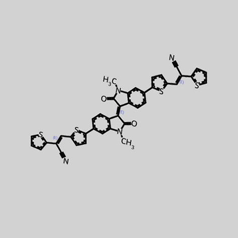 CN1C(=O)/C(=C2/C(=O)N(C)c3cc(-c4ccc(/C=C(\C#N)c5cccs5)s4)ccc32)c2ccc(-c3ccc(/C=C(\C#N)c4cccs4)s3)cc21